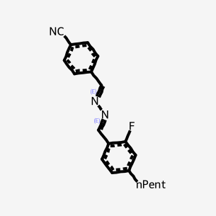 CCCCCc1ccc(/C=N/N=C/c2ccc(C#N)cc2)c(F)c1